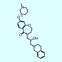 CN1CCC[C@H](Oc2ccc3c(c2)OCCN(CC(O)CN2CCc4ccccc4C2)C3=O)C1